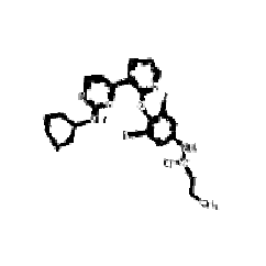 CCC[S+]([O-])Nc1cc(F)c(Oc2ncccc2-c2ccnc(NC3CCCCC3)n2)c(F)c1